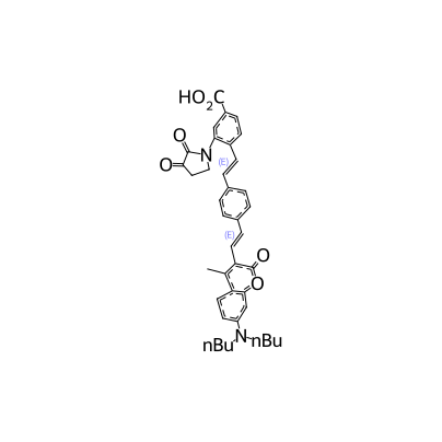 CCCCN(CCCC)c1ccc2c(C)c(/C=C/c3ccc(/C=C/c4ccc(C(=O)O)cc4N4CCC(=O)C4=O)cc3)c(=O)oc2c1